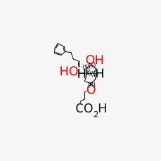 O=C(O)CCCO[C@@H]1C[C@@H]2C[C@H](O)[C@@H](C(O)=CCCc3ccccc3)[C@@H]2C1